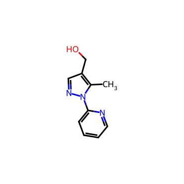 Cc1c(CO)cnn1-c1ccccn1